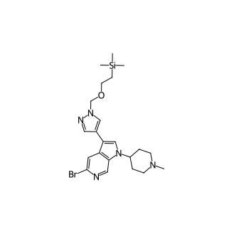 CN1CCC(n2cc(-c3cnn(COCC[Si](C)(C)C)c3)c3cc(Br)ncc32)CC1